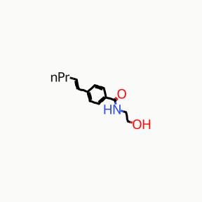 CCC/C=C/c1ccc(C(=O)NCCO)cc1